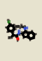 CC(C)C(C(=O)N[C@H]1Cc2ccccc2[C@@H]1NC(=O)O)c1ccc(Cl)cc1